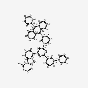 CC1CC=Cc2sc3c(-c4nc(-c5cccc(-c6ccccc6)c5)nc(-c5cccc(-c6c7ccccc7c(-c7ccccc7)c7ccccc67)c5)n4)cccc3c21